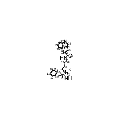 C[C@@H]1CNC[C@](C)(Cc2ccccc2)N1CCCCNC(=O)C1=Cc2cnc3cccc(n23)S1